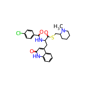 CN1CCCCC1CSC(=O)C(Cc1cc(=O)[nH]c2ccccc12)NC(=O)c1ccc(Cl)cc1